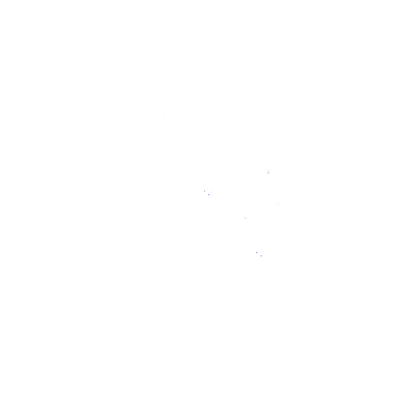 COC(=O)CS(=O)(=O)C(CNC(=O)c1c(C)c(-c2ccccc2)nc2ccc(Br)cc12)c1ccccc1Cl